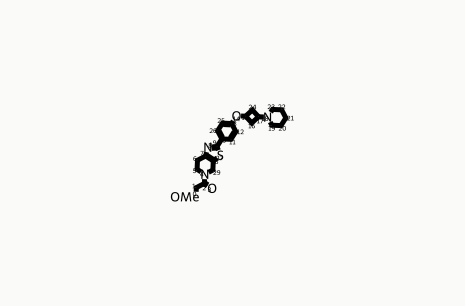 COCC(=O)N1CCc2nc(-c3ccc(OC4CC(N5CCCCC5)C4)cc3)sc2C1